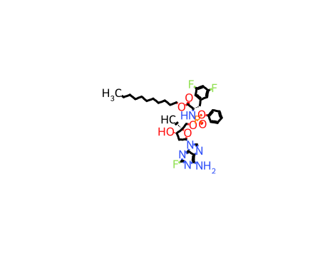 C#C[C@]1(CO[P@@](=O)(N[C@@H](Cc2cc(F)cc(F)c2)C(=O)OCCCCCCCCCCC)Oc2ccccc2)O[C@@H](n2cnc3c(N)nc(F)nc32)C[C@@H]1O